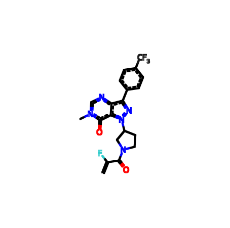 C=C(F)C(=O)N1CCC(n2nc(-c3ccc(C(F)(F)F)cc3)c3ncn(C)c(=O)c32)C1